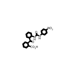 O=C(Nc1ccc([N+](=O)[O-])cc1)Nc1ccccc1C(=O)c1ccccc1C(=O)O